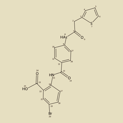 O=C(Cc1cccs1)[AsH]c1ccc(C(=O)Nc2ccc(Br)cc2C(=O)O)cc1